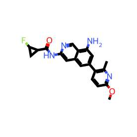 COc1ccc(-c2cc(N)c3cnc(NC(=O)C4CC4F)cc3c2)c(C)n1